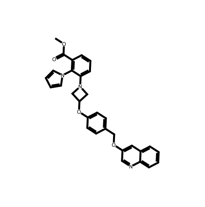 COC(=O)c1cccc(N2CC(Oc3ccc(COc4cnc5ccccc5c4)cc3)C2)c1-n1cccc1